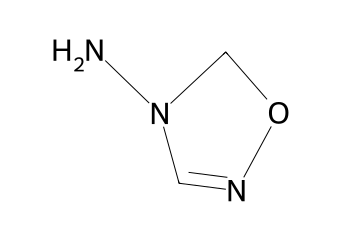 NN1C=NOC1